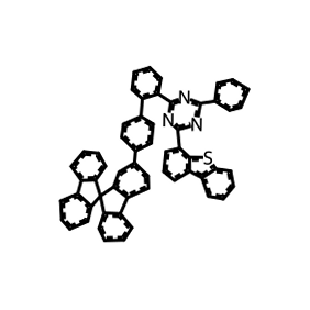 c1ccc(-c2nc(-c3ccccc3-c3ccc(-c4ccc5c(c4)C4(c6ccccc6-c6ccccc64)c4ccccc4-5)cc3)nc(-c3cccc4c3sc3ccccc34)n2)cc1